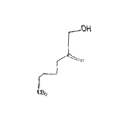 CC(C)(C)CCCC(=O)CO